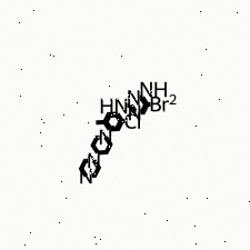 Cc1cc(Nc2ncc(Br)c(N)n2)c(Cl)cc1N1CCC(N2CCN(C)CC2)CC1